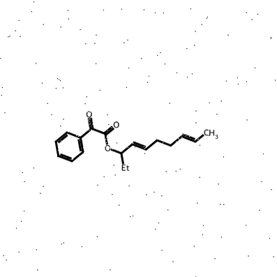 CC=CCCC=CC(CC)OC(=O)C(=O)c1ccccc1